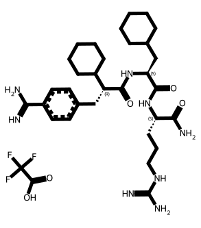 N=C(N)NCCC[C@H](NC(=O)[C@H](CC1CCCCC1)NC(=O)[C@H](Cc1ccc(C(=N)N)cc1)C1CCCCC1)C(N)=O.O=C(O)C(F)(F)F